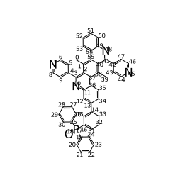 Cc1c2c(-c3ccncc3)nc3cc(C4=CC(P(=O)(c5ccccc5)c5ccccc5)=CCC4)ccc3c2c(C)c2c(-c3ccncc3)nc3ccccc3c12